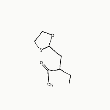 CCC(CC1OCCS1)C(=O)O